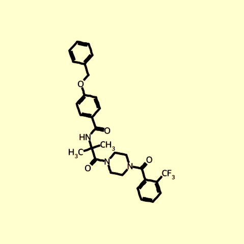 CC(C)(NC(=O)c1ccc(OCc2ccccc2)cc1)C(=O)N1CCN(C(=O)c2ccccc2C(F)(F)F)CC1